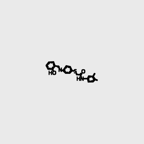 Cc1ccc(NC(=O)CSc2ccc(/N=C/c3ccccc3O)cc2)cc1C